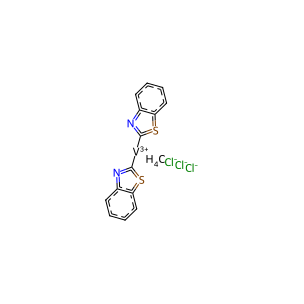 C.[Cl-].[Cl-].[Cl-].c1ccc2s[c]([V+3][c]3nc4ccccc4s3)nc2c1